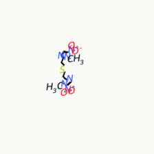 Cn1c([N+](=O)[O-])cnc1CCSCCc1ncc([N+](=O)[O-])n1C